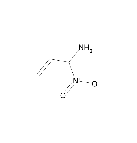 C=CC(N)[N+](=O)[O-]